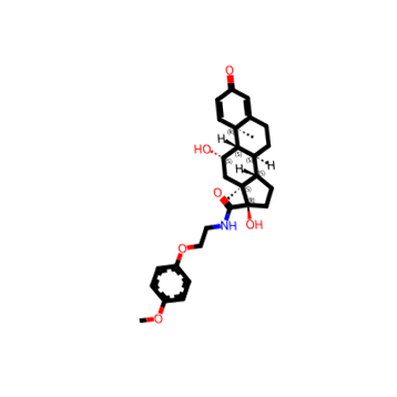 COc1ccc(OCCNC(=O)[C@@]2(O)CC[C@H]3[C@@H]4CCC5=CC(=O)C=C[C@]5(C)[C@H]4[C@@H](O)C[C@@]32C)cc1